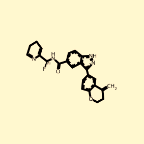 C=C1CCOc2ccc(-c3n[nH]c4ccc(C(=O)N[C@@H](F)C5=CCCC=N5)cc34)cc21